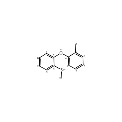 [CH2]c1ccccc1Oc1ccccc1SC